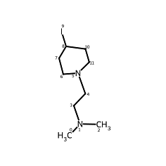 CN(C)CCN1CCC(I)CC1